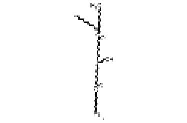 CCCCCCCCCOC(=O)CCCCCCCN(CCO)CCCCCCCC(=O)OCC(CCCCCCCC)CCCCCCCCF